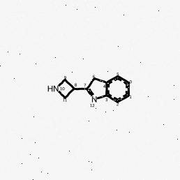 c1ccc2c(c1)CC(C1CNC1)=N2